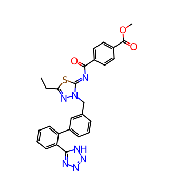 CCc1nn(Cc2cccc(-c3ccccc3-c3nnn[nH]3)c2)c(=NC(=O)c2ccc(C(=O)OC)cc2)s1